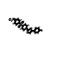 Cc1ccc(-c2csc(N3CCN(S(=O)(=O)c4ccc([N+](=O)[O-])cc4)CC3)n2)cc1